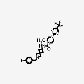 C[C@@H]1CN(c2ncc(C(F)(F)F)cn2)CCN1C(=O)NC1CC2(C1)CN(Cc1ccc(F)cc1)C2